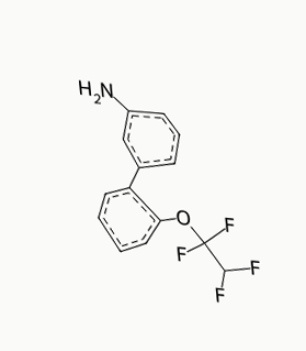 Nc1cccc(-c2ccccc2OC(F)(F)C(F)F)c1